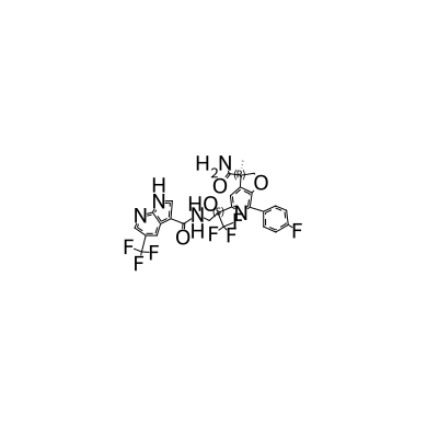 C[C@]1(C(N)=O)COc2c1cc([C@@](O)(CNC(=O)c1c[nH]c3ncc(C(F)(F)F)cc13)C(F)(F)F)nc2-c1ccc(F)cc1